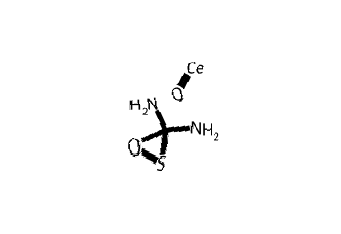 NC1(N)OS1.[O]=[Ce]